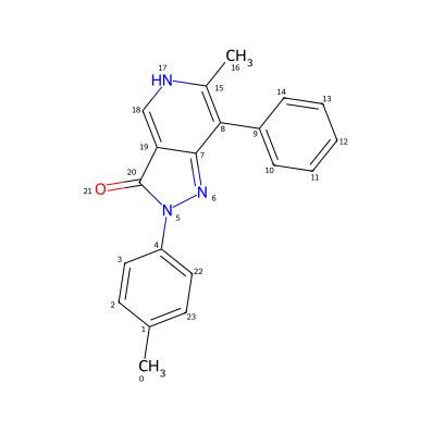 Cc1ccc(-n2nc3c(-c4ccccc4)c(C)[nH]cc-3c2=O)cc1